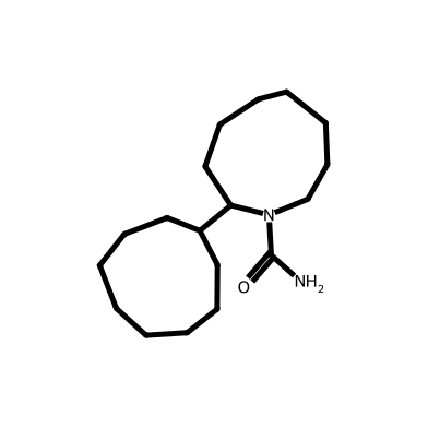 NC(=O)N1CCCCCCCC1C1CCCCCCCC1